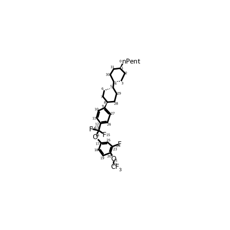 CCCCC[C@H]1CC[C@H]([C@H]2CC[C@H](c3ccc(C(F)(F)Oc4ccc(OC(F)(F)F)c(F)c4)cc3)CC2)CC1